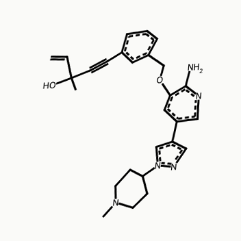 C=CC(C)(O)C#Cc1cccc(COc2cc(-c3cnn(C4CCN(C)CC4)c3)cnc2N)c1